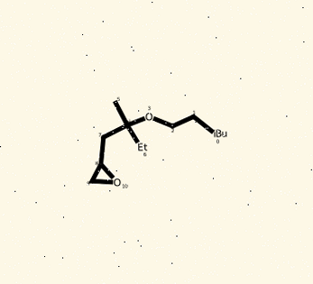 CCC(C)CCOC(C)(CC)CC1CO1